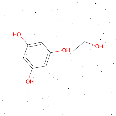 CCO.Oc1cc(O)cc(O)c1